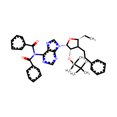 CC[C@H]1O[C@@H](n2cnc3c(N(C(=O)c4ccccc4)C(=O)c4ccccc4)ncnc32)[C@@H](O[Si](C)(C)C(C)(C)C)C1CCc1ccccc1